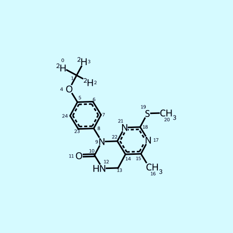 [2H]C([2H])([2H])Oc1ccc(N2C(=O)NCc3c(C)nc(SC)nc32)cc1